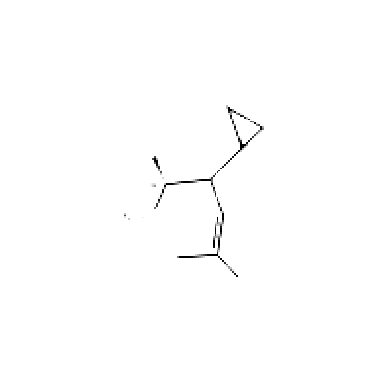 CC[C@H](OC)C(C=C(C)C)C1CC1